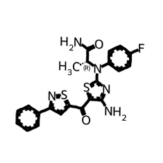 C[C@H](C(N)=O)N(c1ccc(F)cc1)c1nc(N)c(C(=O)c2cc(-c3ccccc3)ns2)s1